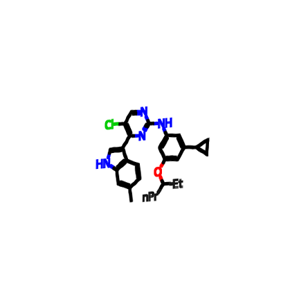 CCCC(CC)Oc1cc(Nc2ncc(Cl)c(-c3c[nH]c4cc(C)ccc34)n2)cc(C2CC2)c1